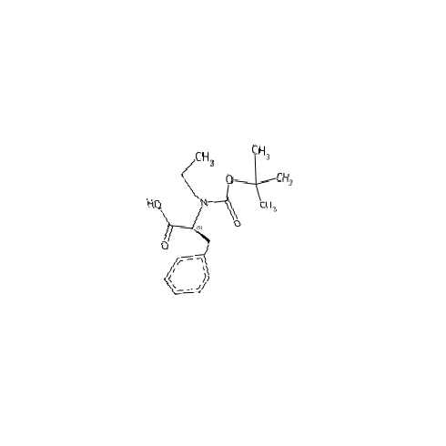 CCN(C(=O)OC(C)(C)C)[C@@H](Cc1ccccc1)C(=O)O